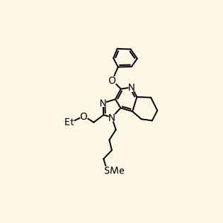 CCOCc1nc2c(Oc3ccccc3)nc3c(c2n1CCCCSC)CCCC3